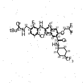 Cn1c(Nc2c(Cl)ccc(CNC(=O)C(C)(C)C)c2F)nc2cc(C(=O)NC3CCC(C(F)(F)F)CC3)c(OCC(F)F)cc21